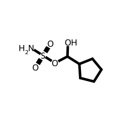 NS(=O)(=O)OC(O)C1CCCC1